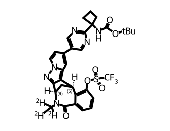 [2H]C([2H])([2H])N1C(=O)c2cccc(OS(=O)(=O)C(F)(F)F)c2[C@H]2C[C@@H]1c1nn3ccc(-c4cnc(C5(NC(=O)OC(C)(C)C)CCC5)nc4)cc3c12